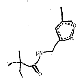 Cc1cc(CNC(=O)C(C)(C)C)no1